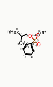 CCCCCCC(C)OC(C)=O.O=S(=O)([O-])c1ccccc1.[Na+]